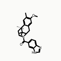 COc1cc2c(cc1C)[C@]1(C)CCN(C(=O)c3ccc4nc[nH]c4c3)C(C2)C1(C)C